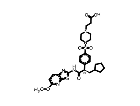 COc1ccc2nc(NC(=O)[C@H](CC3CCCC3)c3ccc(S(=O)(=O)N4CCN(CCC(=O)O)CC4)cc3)sc2n1